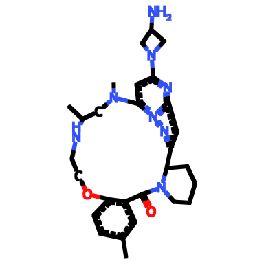 Cc1ccc2c(c1)C(=O)N1CCCCC1c1cc3nc(N4CC(N)C4)cc(n3n1)N(C)CC(C)NCCO2